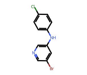 Clc1ccc(Nc2cncc(Br)c2)cc1